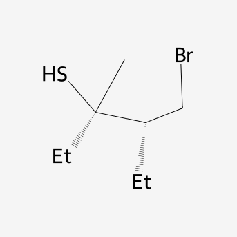 CC[C@@H](CBr)[C@](C)(S)CC